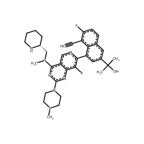 C#Cc1c(F)ccc2cc(C(C)(C)O)cc(-c3ncc4c(N(C)C[C@H]5CCCCN5)nc(N5CCN(C)CC5)nc4c3F)c12